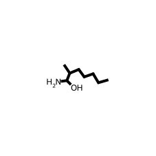 CCCCCC(C)C(N)O